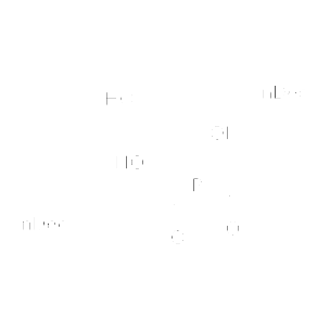 CCCCCCCCCCCCCC(=O)P(C(=O)CCCCCCCCCCCCC)C(O)C(O)CO